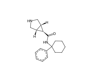 O=C(NC1(c2ccccc2)CCCCC1)[C@H]1[C@@H]2CNC[C@@H]21